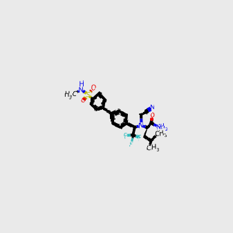 CNS(=O)(=O)c1ccc(-c2ccc(C(N(CC#N)[C@H](CC(C)C)C(N)=O)C(F)(F)F)cc2)cc1